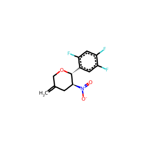 C=C1CO[C@H](c2cc(F)c(F)cc2F)[C@@H]([N+](=O)[O-])C1